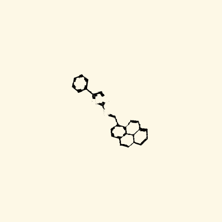 C1=CC2C=Cc3ccc(C=Nc4nc(-c5ccccc5)cs4)c4c3C2C(=C1)C=C4